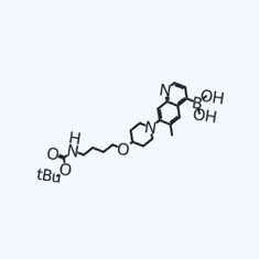 Cc1cc2c(B(O)O)ccnc2cc1N1CCC(OCCCCNC(=O)OC(C)(C)C)CC1